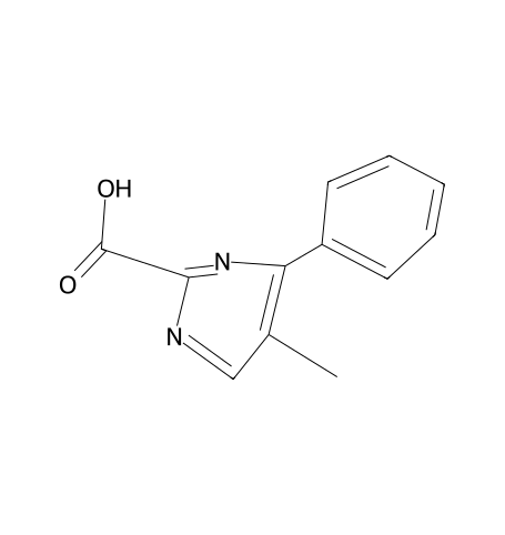 Cc1cnc(C(=O)O)nc1-c1ccccc1